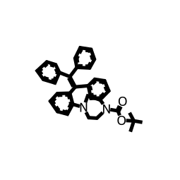 CC(C)(C)OC(=O)N1CCN(c2ccccc2C(=C(c2ccccc2)c2ccccc2)c2ccccc2)CC1